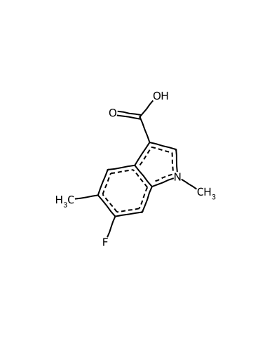 Cc1cc2c(C(=O)O)cn(C)c2cc1F